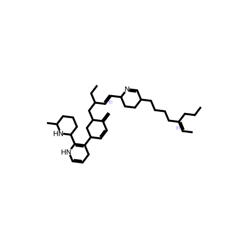 C=C1C=CC(C2=C(C3CCCC(C)N3)NC=CC2)CC1CC(/C=C/C1CCC(CCCC/C(=C/C)CCC)C=N1)CC